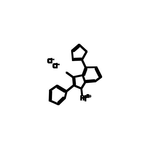 CC1=C(c2ccccc2)[CH]([Hf+2])c2cccc(C3=CC=CC3)c21.[Cl-].[Cl-]